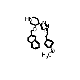 COc1ccc(CCn2cc([C@H]3CCNC[C@@H]3OCc3ccc4ccccc4c3)nn2)cc1